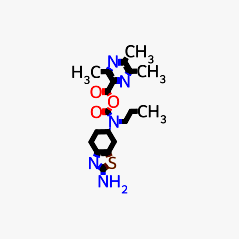 CCCN(C(=O)OC(=O)c1nc(C)c(C)nc1C)[C@H]1CCc2nc(N)sc2C1